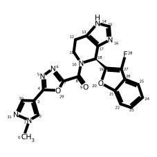 Cn1cc(-c2nnc(C(=O)N3CCc4[nH]cnc4[C@H]3c3oc4ccccc4c3F)o2)cn1